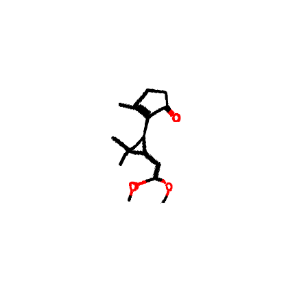 COC(CC1C(C2=C(C)CCC2=O)C1(C)C)OC